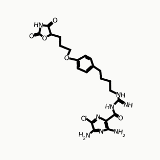 N=C(NCCCCc1ccc(OCCCC2OC(=O)NC2=O)cc1)NC(=O)c1nc(Cl)c(N)nc1N